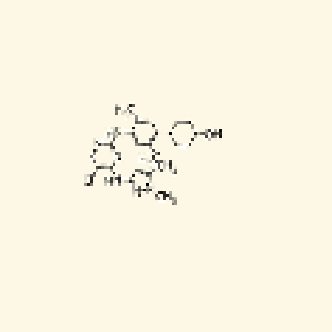 Cc1cc([C@H]2CC[C@H](O)CC2)c(C)cc1Nc1ncc(Cl)c(Nc2cc(C)n(C)n2)n1